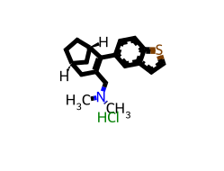 CN(C)CC1=C(c2ccc3sccc3c2)[C@H]2CC[C@H](C1)C2.Cl